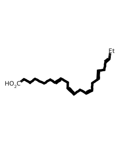 CC/C=C/C/C=C/C/C=C\C/C=C\C/C=C/CCCCCC(=O)O